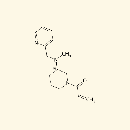 C=CC(=O)N1CCC[C@@H](N(C)Cc2ccccn2)C1